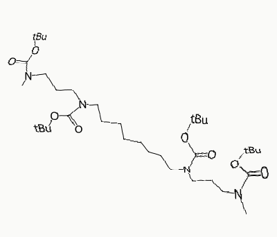 CN(CCCN(CCCCCCCCN(CCCN(C)C(=O)OC(C)(C)C)C(=O)OC(C)(C)C)C(=O)OC(C)(C)C)C(=O)OC(C)(C)C